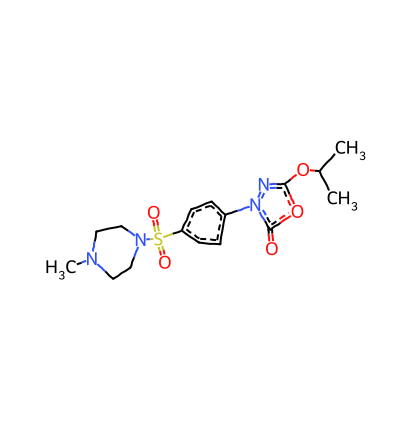 CC(C)Oc1nn(-c2ccc(S(=O)(=O)N3CCN(C)CC3)cc2)c(=O)o1